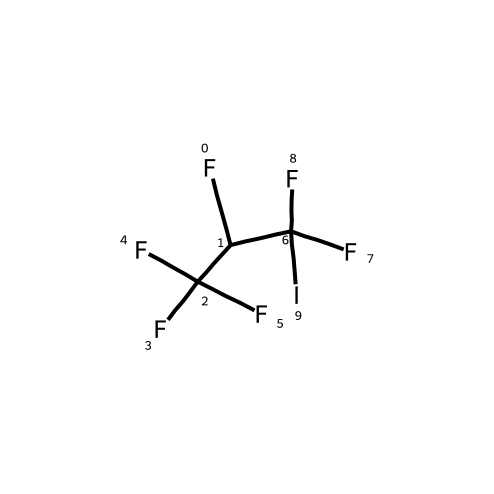 FC(C(F)(F)F)C(F)(F)I